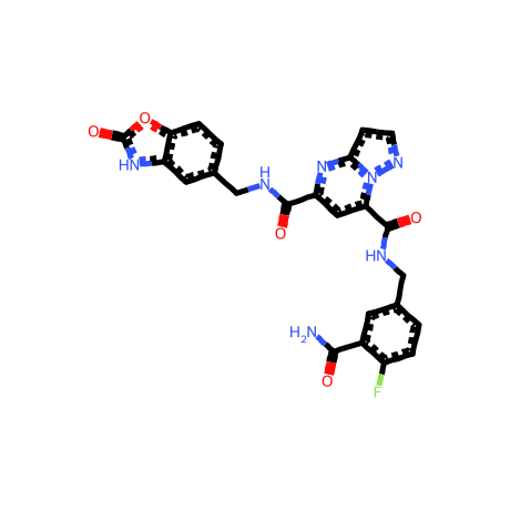 NC(=O)c1cc(CNC(=O)c2cc(C(=O)NCc3ccc4oc(=O)[nH]c4c3)nc3ccnn23)ccc1F